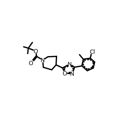 Cc1c(Cl)cccc1-c1noc(C2CCN(C(=O)OC(C)(C)C)CC2)n1